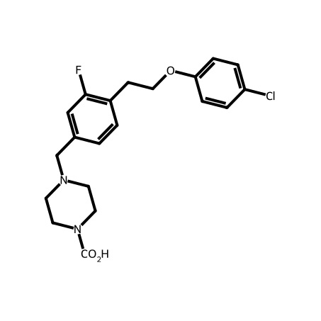 O=C(O)N1CCN(Cc2ccc(CCOc3ccc(Cl)cc3)c(F)c2)CC1